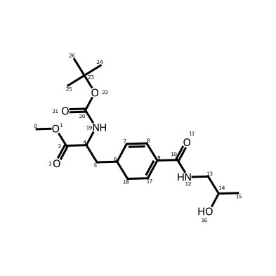 COC(=O)C(CC1C=CC(C(=O)NCC(C)O)=CC1)NC(=O)OC(C)(C)C